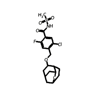 CS(=O)(=O)NC(=O)c1cc(Cl)c(COC2CC3CC4CCC2C(C4)C3)cc1F